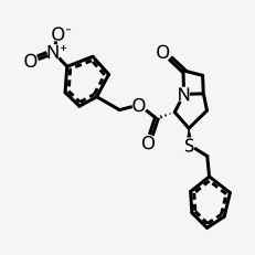 O=C(OCc1ccc([N+](=O)[O-])cc1)[C@H]1[C@H](SCc2ccccc2)CC2CC(=O)N21